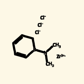 CN(C)B1C=CC=CC1.[Cl-].[Cl-].[Cl-].[Zr+3]